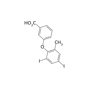 Cc1cc(I)cc(I)c1Oc1cccc(C(=O)O)c1